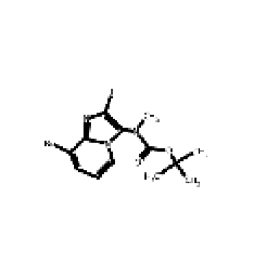 CN(C(=O)OC(C)(C)C)c1c(I)nc2c(Br)cccn12